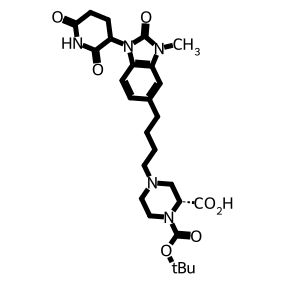 Cn1c(=O)n(C2CCC(=O)NC2=O)c2ccc(CCCCN3CCN(C(=O)OC(C)(C)C)[C@@H](C(=O)O)C3)cc21